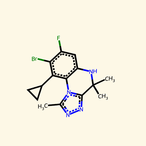 Cc1nnc2n1-c1c(cc(F)c(Br)c1C1CC1)NC2(C)C